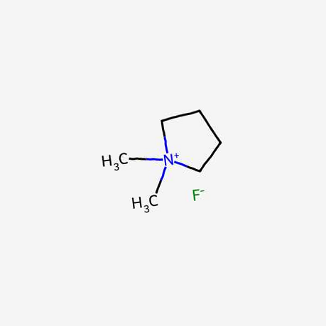 C[N+]1(C)CCCC1.[F-]